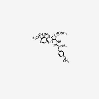 COc1ccc(C[C@H](N)C(=O)N[C@H]2[C@@H](O)[C@H](n3cnc4c(N(C)C)ncnc43)O[C@@H]2CO)cc1.N